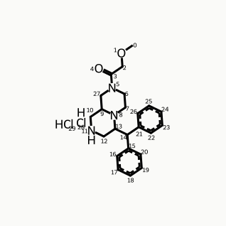 COCC(=O)N1CCN2C(CNCC2C(c2ccccc2)c2ccccc2)C1.Cl.Cl